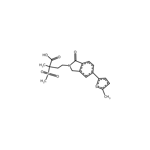 Cc1ccc(-c2ccc3c(c2)CN(CCC(C)(C(=O)O)S(C)(=O)=O)C3=O)s1